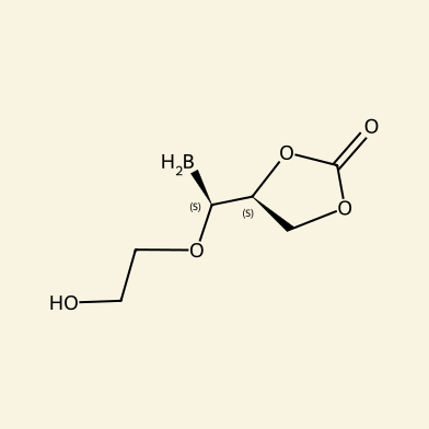 B[C@H](OCCO)[C@@H]1COC(=O)O1